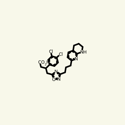 O=C(O)CC(Cc1nc(CCCc2ccc3c(n2)NCCC3)no1)c1ccc(Cl)c(Cl)c1